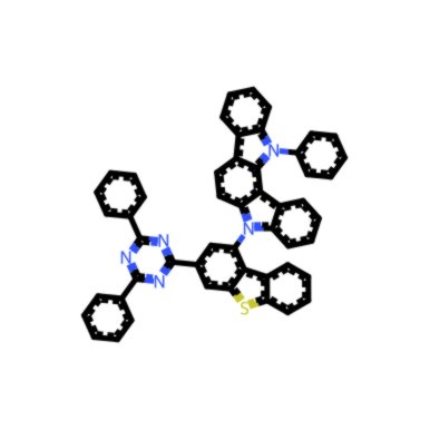 c1ccc(-c2nc(-c3ccccc3)nc(-c3cc(-n4c5ccccc5c5c4ccc4c6ccccc6n(-c6ccccc6)c45)c4c(c3)sc3ccccc34)n2)cc1